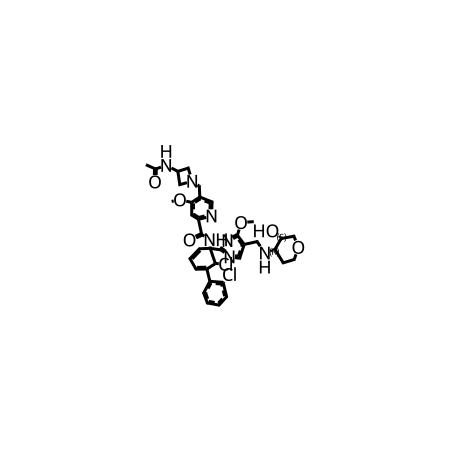 COc1cc(C(=O)NC2(c3ncc(CN[C@@H]4CCOC[C@H]4O)c(OC)n3)C=CC=C(c3ccccc3Cl)C2Cl)ncc1CN1CC(NC(C)=O)C1